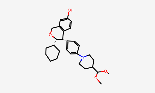 COC(OC)C1CCN(c2ccc([C@H]3c4ccc(O)cc4CO[C@H]3C3CCCCC3)cc2)CC1